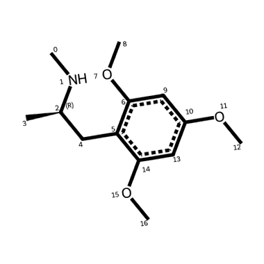 CN[C@H](C)Cc1c(OC)cc(OC)cc1OC